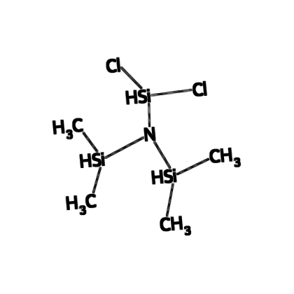 C[SiH](C)N([SiH](C)C)[SiH](Cl)Cl